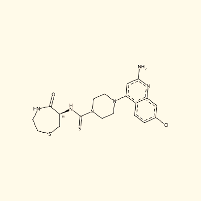 Nc1cc(N2CCN(C(=S)N[C@H]3CSCCNC3=O)CC2)c2ccc(Cl)cc2n1